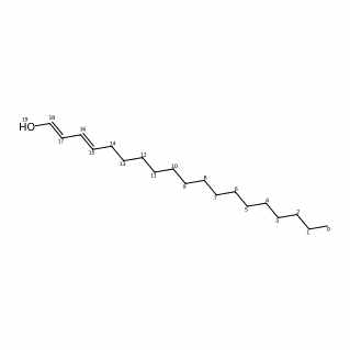 CCCCCCCCCCCCCCCC=CC=CO